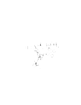 C=CC(=O)OCCNC(=O)OC(COC(=O)C1CC=CCC1C(=O)CC(C)(CC)CC)COc1ccc(C2(c3ccc(OC(C)(CC)CC)cc3)c3ccccc3-c3ccccc32)cc1